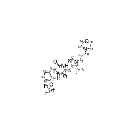 CC(C)c1c(/C=c2\[nH]c(=O)/c(=C/c3cccc(OC(F)(F)F)c3)[nH]c2=O)ncn1CCCN1CCOCC1